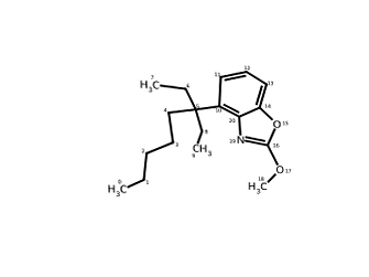 CCCCCC(CC)(CC)c1cccc2oc(OC)nc12